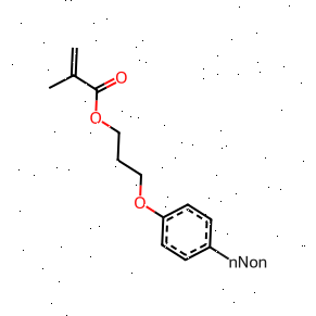 C=C(C)C(=O)OCCCOc1ccc(CCCCCCCCC)cc1